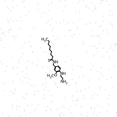 CCCCCCCCC(=S)NCc1ccc(NCCN)c(OC)c1